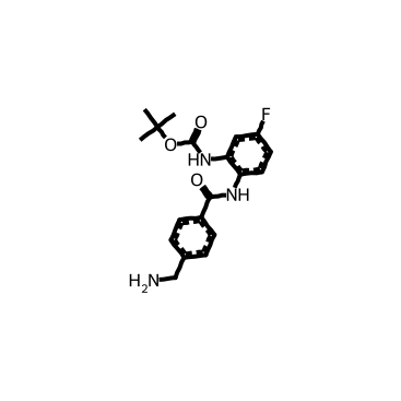 CC(C)(C)OC(=O)Nc1cc(F)ccc1NC(=O)c1ccc(CN)cc1